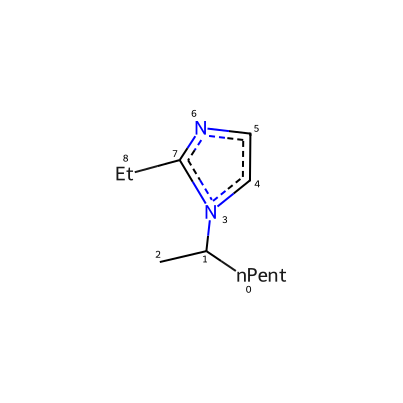 CCCCCC(C)n1ccnc1CC